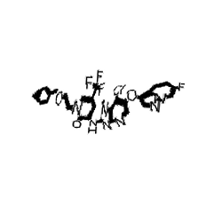 Cn1c(Nc2cc(C(F)(F)F)cn(CCOCc3ccccc3)c2=O)nc2ncc(Oc3cnn4cc(F)ccc34)c(Cl)c21